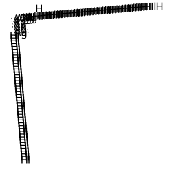 I.I.I.I.I.I.I.I.I.I.I.I.I.I.I.I.I.I.I.I.I.I.I.I.I.I.I.I.I.I.I.I.I.I.I.I.I.I.I.I.I.I.I.I.I.I.I.I.I.I.I.I.I.I.I.I.I.I.I.I.I.I.I.I.I.I.I.I.I.I.I.I.I.I.I.I.I.I.I.I.I.I.I.I.I.I.I.I.I.I.[Ag].[Ag].[Ag].[Ag].[Ag].[Ag].[Ag].[Ag].[Ag].[Ag]